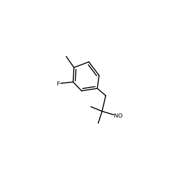 Cc1ccc(CC(C)(C)N=O)cc1F